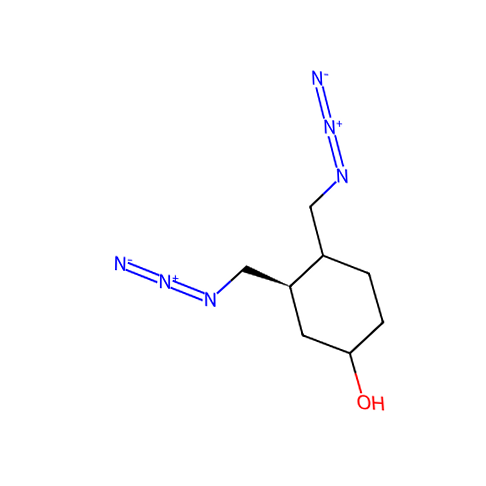 [N-]=[N+]=NCC1CCC(O)C[C@H]1CN=[N+]=[N-]